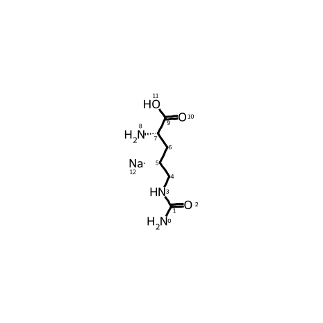 NC(=O)NCCC[C@H](N)C(=O)O.[Na]